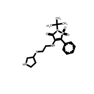 CC(C)(C)N1C(=O)C(NCCSC2CCNC2)=C(c2ccccc2)S1(=O)=O